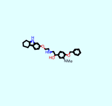 CNc1cc(C(O)CNCCOc2ccc3c4c([nH]c3c2)CCCC4)ccc1OCc1ccccc1